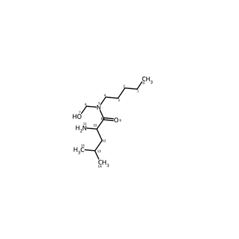 CCCCCN(CO)C(=O)C(N)CC(C)C